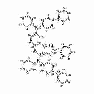 c1ccc(-c2ccc(N(c3ccccc3)c3ccc4cc(N(c5ccccc5)c5ccc(-c6ccccc6)cc5)c5nc(-c6ccccc6)oc5c4c3)cc2)cc1